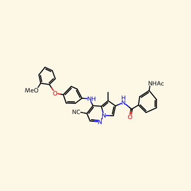 COc1ccccc1Oc1ccc(Nc2c(C#N)cnn3cc(NC(=O)c4cccc(NC(C)=O)c4)c(C)c23)cc1